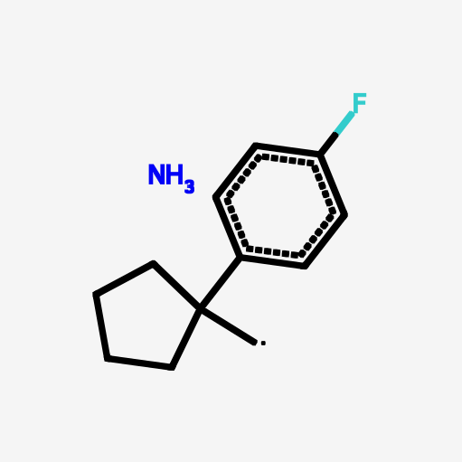 N.[CH2]C1(c2ccc(F)cc2)CCCC1